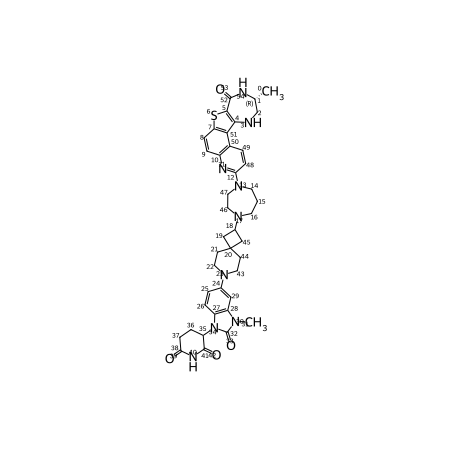 C[C@@H]1CNc2c(sc3ccc4nc(N5CCCN(C6CC7(CCN(c8ccc9c(c8)n(C)c(=O)n9C8CCC(=O)NC8=O)CC7)C6)CC5)ccc4c23)C(=O)N1